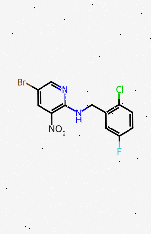 O=[N+]([O-])c1cc(Br)cnc1NCc1cc(F)ccc1Cl